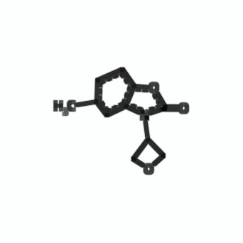 Cc1ccc2oc(=O)n(C3COC3)c2c1